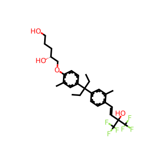 CCC(CC)(c1ccc(/C=C/C(O)(C(F)(F)F)C(F)(F)F)c(C)c1)c1ccc(OC[C@H](O)CCCO)c(C)c1